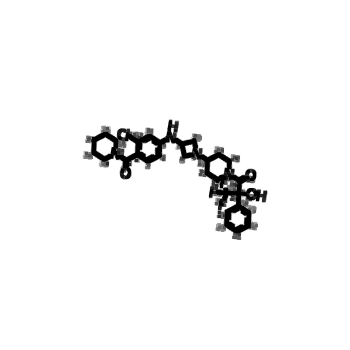 O=C(c1ccc(NC2CN(C3CCN(C(=O)[C@](O)(c4ccccc4)C(F)(F)F)CC3)C2)cc1Cl)N1CCCCC1